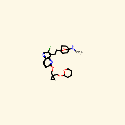 O=C(O)NC12CCC(CCc3c(F)cnc4ccc(OCC5(COC6CCCCO6)CC5)nc34)(CC1)OC2